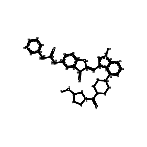 COC1CCN(C(=O)C2CCN(c3ccnc4c3c(/C=C3\Oc5ccc(NC(=O)Nc6cccnc6)cc5C3=O)cn4C)CC2)C1